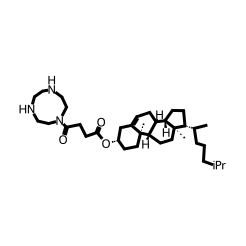 CC(C)CCCC(C)[C@H]1CC[C@H]2[C@@H]3CC=C4C[C@@H](OC(=O)CCC(=O)N5CCNCCNCC5)CC[C@]4(C)[C@H]3CC[C@]12C